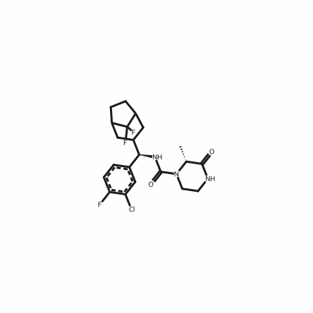 C[C@@H]1C(=O)NCCN1C(=O)N[C@@H](c1ccc(F)c(Cl)c1)C1CC2CCC(C1)C2(F)F